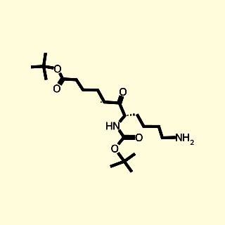 CC(C)(C)OC(=O)CCC[CH]C(=O)[C@H](CCCCN)NC(=O)OC(C)(C)C